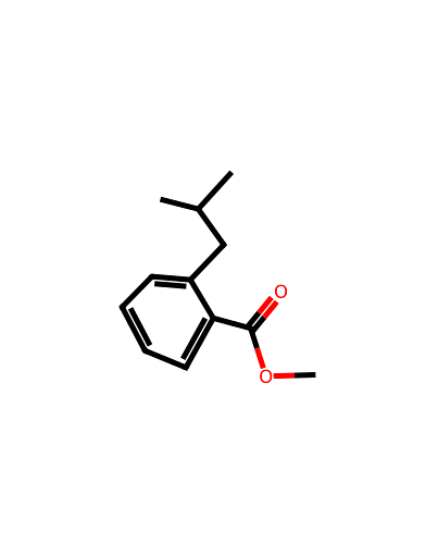 COC(=O)c1ccccc1CC(C)C